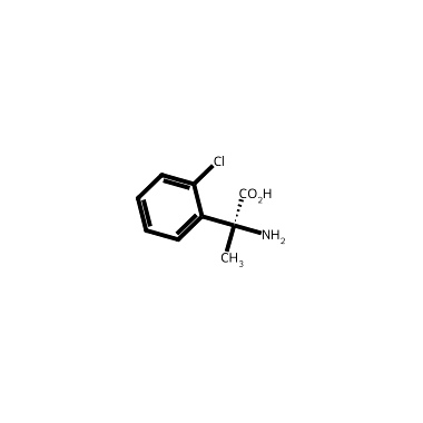 C[C@@](N)(C(=O)O)c1ccccc1Cl